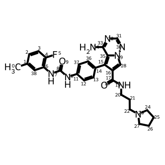 Cc1ccc(F)c(NC(=O)Nc2ccc(-c3c(C(=O)NCCCN4CCCC4)cn4ncnc(N)c34)cc2)c1